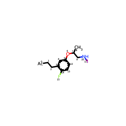 CC(=O)CCc1cc(OC(C)CNI)ccc1F